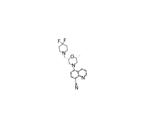 C[C@@H]1CN(c2ccc(C#N)c3ncccc23)C[C@H](CN2CCC(F)(F)CC2)O1